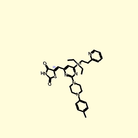 CC[N+](CC)(CCc1ccccn1)c1cc(/C=C2\SC(=O)NC2=O)nc(N2CCN(c3ccc(C)cc3)CC2)n1